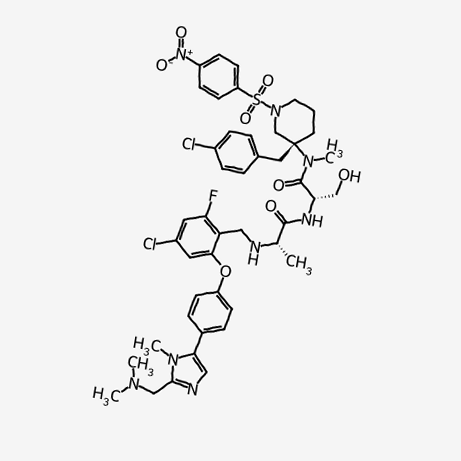 C[C@H](NCc1c(F)cc(Cl)cc1Oc1ccc(-c2cnc(CN(C)C)n2C)cc1)C(=O)N[C@@H](CO)C(=O)N(C)[C@@]1(Cc2ccc(Cl)cc2)CCCN(S(=O)(=O)c2ccc([N+](=O)[O-])cc2)C1